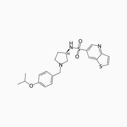 CC(C)Oc1ccc(CN2CC[C@@H](NS(=O)(=O)c3cnc4ccsc4c3)C2)cc1